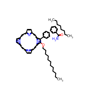 CCCCCCCC.CCCCCCCCCCCCOc1c(-c2ccccc2)c2cc3nc(cc4ccc(cc5nc(cc1[nH]2)C=C5)[nH]4)C=C3.NC(=O)c1ccccc1